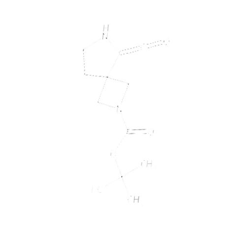 CC(C)(C)OC(=O)N1CC2(CCNC2=C=O)C1